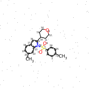 Cc1ccc(S(=O)(=O)n2c(C3CCOCC3)cc3ccc(C)cc32)cc1